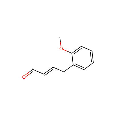 COc1ccccc1C/C=C/[C]=O